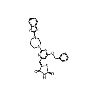 O=C1NC(=O)/C(=C/c2cc(OCc3ccccc3)nc(N3CCCN(c4nc5ccccc5o4)CC3)n2)S1